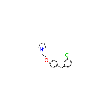 Clc1cccc(Cc2ccc(OCCN3CCCC3)cc2)c1